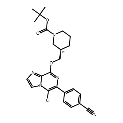 CC(C)(C)OC(=O)N1CCC[C@@H](COc2nc(-c3ccc(C#N)cc3)c(Cl)n3ccnc23)C1